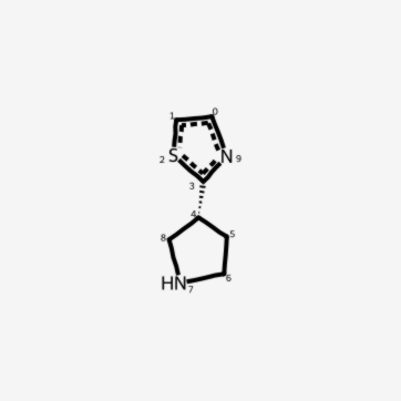 c1csc([C@@H]2CCNC2)n1